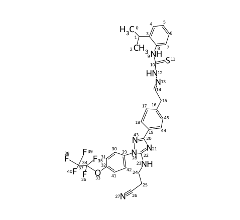 CC(C)c1ccccc1NC(=S)NN=CCc1ccc(-c2nc(NCCC#N)n(-c3ccc(OC(F)(F)C(F)(F)F)cc3)n2)cc1